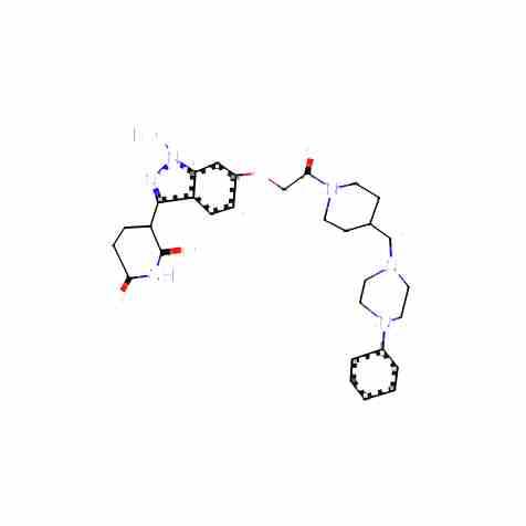 Cn1nc(C2CCC(=O)NC2=O)c2ccc(OCC(=O)N3CCC(CN4CCN(c5ccccc5)CC4)CC3)cc21